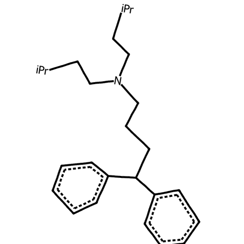 CC(C)CCN(CCCC(c1ccccc1)c1ccccc1)CCC(C)C